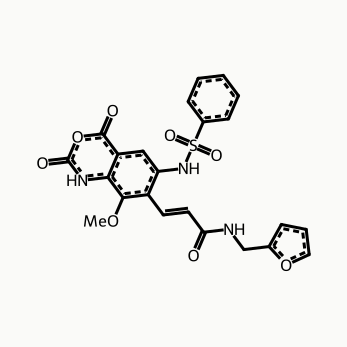 COc1c(/C=C/C(=O)NCc2ccco2)c(NS(=O)(=O)c2ccccc2)cc2c(=O)oc(=O)[nH]c12